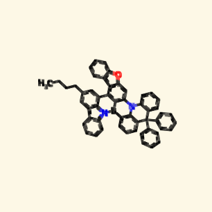 CCCCc1cc2c3c(c1)c1ccccc1n3B1c3cccc4c3N(c3ccccc3C4(c3ccccc3)c3ccccc3)c3cc4oc5ccccc5c4c-2c31